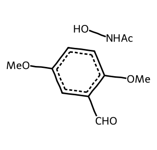 CC(=O)NO.COc1ccc(OC)c(C=O)c1